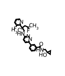 C[C@H](F)C[C@@](C)(CNc1ccc(-c2cccc(C(=O)NCC3(O)CC3)c2)nn1)c1ncccc1F